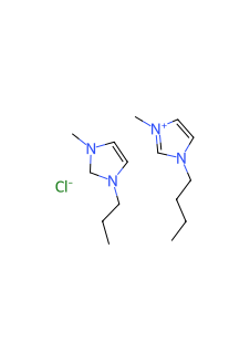 CCCCn1cc[n+](C)c1.CCCN1C=CN(C)C1.[Cl-]